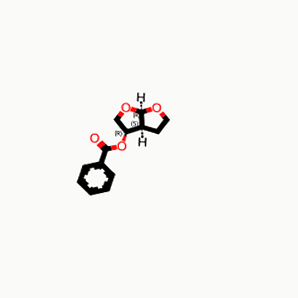 O=C(O[C@H]1CO[C@H]2OCC[C@H]21)c1ccccc1